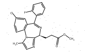 COC(=O)CC[C@@H]1N=C(c2ccccc2F)c2cc(Cl)ccc2-n2c(C)cnc21